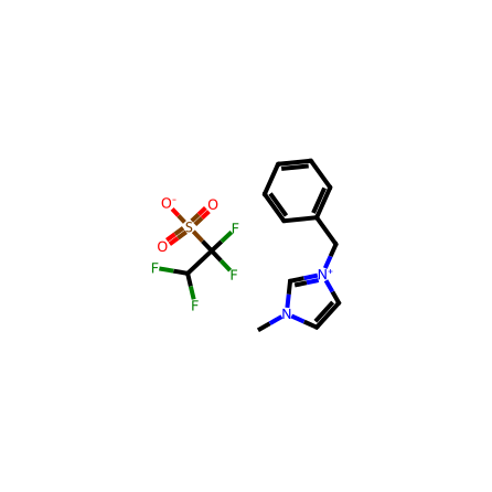 Cn1cc[n+](Cc2ccccc2)c1.O=S(=O)([O-])C(F)(F)C(F)F